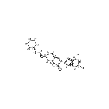 Cc1cn2cc(-c3cc4ccc(OCCN5CCCCC5)cc4oc3=O)nc2c(C)n1